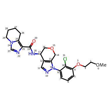 COCCOc1cccc(-n2ncc3c2COC[C@@H]3NC(=O)c2ncn3c2CCCC3)c1Cl